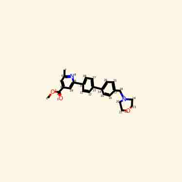 COC(=O)c1cc(C)nc(-c2ccc(-c3ccc(CN4CCOCC4)cc3)cc2)c1